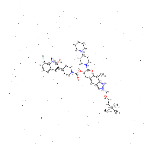 Cc1cc(CC(OC(=O)N2CCC(c3cc4cccc(F)c4[nH]c3=O)CC2)C(=O)N2CCC(N3CCCCC3)CC2)cc2cn(COCC[Si](C)(C)C)nc12